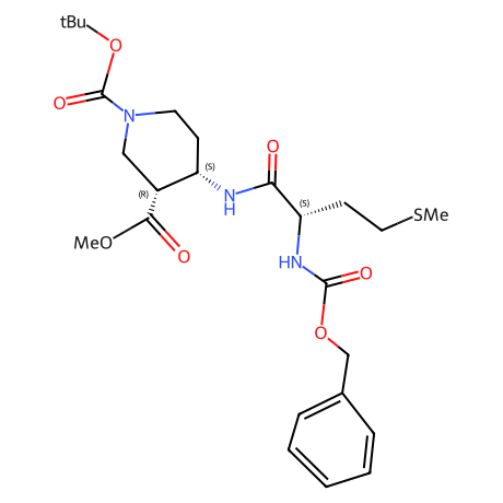 COC(=O)[C@@H]1CN(C(=O)OC(C)(C)C)CC[C@@H]1NC(=O)[C@H](CCSC)NC(=O)OCc1ccccc1